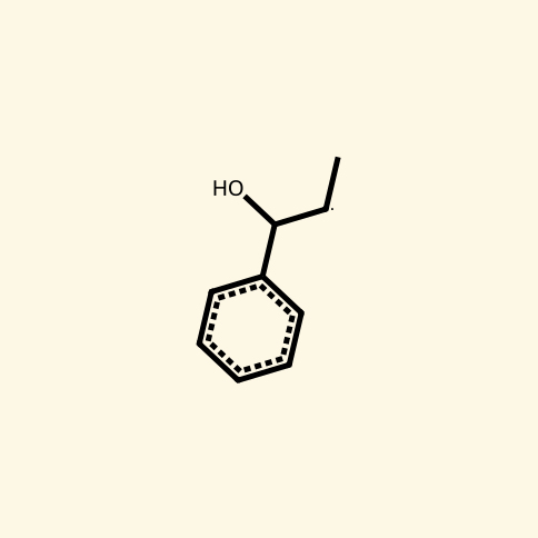 C[CH]C(O)c1ccccc1